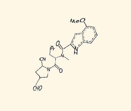 COc1cccc2[nH]c(C(=O)N(C)C(CC(C)C)C(=O)N3CC(C=O)CC3C#N)cc12